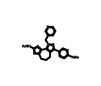 CNc1ccc(-c2nn(Cc3cccnc3)c3c2CCCc2nc(NC(C)=O)sc2-3)cn1